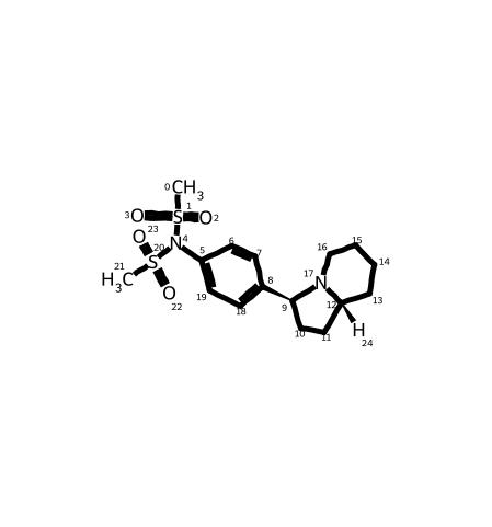 CS(=O)(=O)N(c1ccc([C@@H]2CC[C@H]3CCCCN32)cc1)S(C)(=O)=O